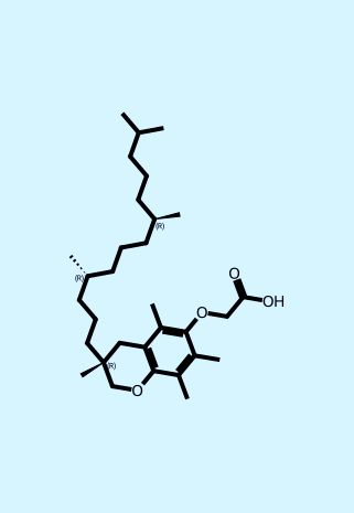 Cc1c(C)c2c(c(C)c1OCC(=O)O)C[C@@](C)(CCC[C@H](C)CCC[C@H](C)CCCC(C)C)CO2